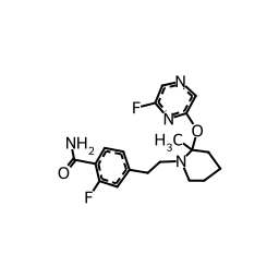 CC1(Oc2cncc(F)n2)CCCCN1CCc1ccc(C(N)=O)c(F)c1